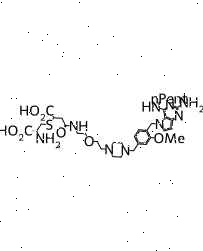 CCCCCNc1nc(N)nc2ccn(Cc3ccc(CN4CCN(CCOCCNC(=O)CC(SC[C@H](N)C(=O)O)C(=O)O)CC4)cc3OC)c12